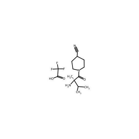 CC(C)[C@@](C)(N)C(=O)N1CCC(C#N)CC1.O=C(O)C(F)(F)F